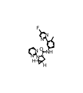 Cc1ccc(NC(=O)[C@H]2C[C@H]3C[C@H]3N2c2ncccn2)cc1-c1ncc(F)cn1